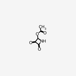 CC(=O)OC1NC(=O)C1=O